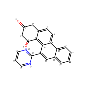 O=C1CC(=O)c2c(ccc3c2c(-c2ncccn2)cc2ccccc23)C1